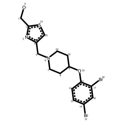 [O]Cc1nc(CN2CCC(Oc3ccc(Br)cc3Br)CC2)cs1